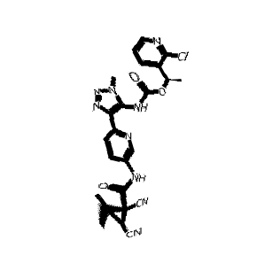 C[C@@H](OC(=O)Nc1c(-c2ccc(NC(=O)C3(C#N)C(C#N)C3(C)C)cn2)nnn1C)c1cccnc1Cl